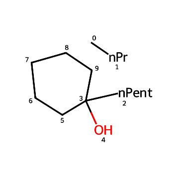 CCCC.CCCCCC1(O)CCCCC1